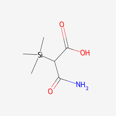 C[Si](C)(C)C(C(N)=O)C(=O)O